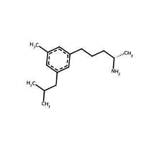 Cc1cc(CCC[C@H](C)N)cc(CC(C)C)c1